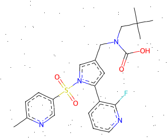 Cc1ccc(S(=O)(=O)n2cc(CN(CC(C)(C)C)C(=O)O)cc2-c2cccnc2F)cn1